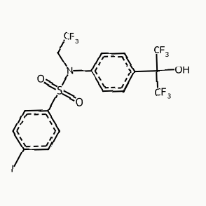 O=S(=O)(c1ccc(I)cc1)N(CC(F)(F)F)c1ccc(C(O)(C(F)(F)F)C(F)(F)F)cc1